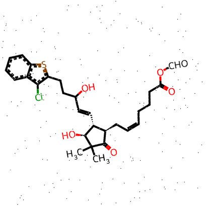 CC1(C)C(=O)[C@H](C/C=C\CCCC(=O)OC=O)[C@@H](/C=C/C(O)CCc2sc3ccccc3c2Cl)[C@@H]1O